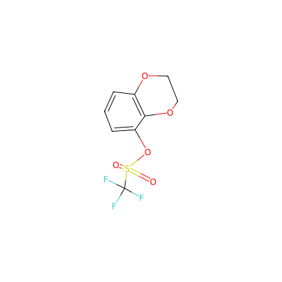 O=S(=O)(Oc1cccc2c1OCCO2)C(F)(F)F